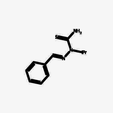 CC(C)N(N=Cc1ccccc1)C(N)=S